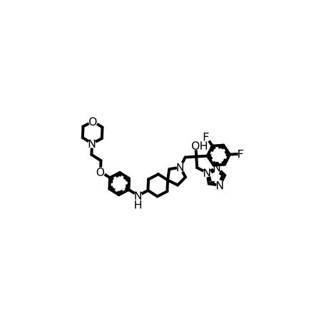 OC(CN1CCC2(CCC(Nc3ccc(OCCN4CCOCC4)cc3)CC2)C1)(Cn1cncn1)c1ccc(F)cc1F